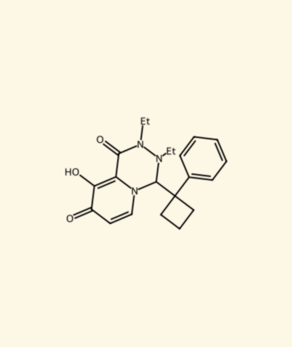 CCN1C(=O)c2c(O)c(=O)ccn2C(C2(c3ccccc3)CCC2)N1CC